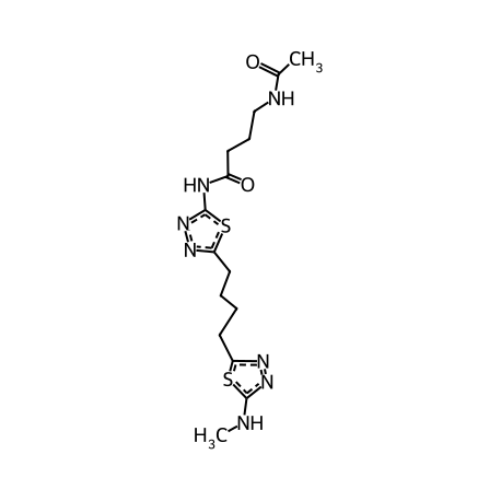 CNc1nnc(CCCCc2nnc(NC(=O)CCCNC(C)=O)s2)s1